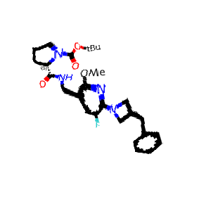 COc1nc(N2CC(Cc3ccccc3)C2)c(F)cc1CNC(=O)[C@@H]1CCCN1C(=O)OC(C)(C)C